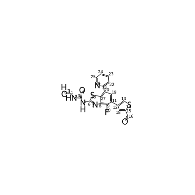 CCNC(=O)Nc1nc2c(F)c(-c3csc(C=O)c3)cc(-c3ccccn3)c2s1